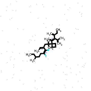 C=C(C)/C(C(=C)CC)=C(/C)C1(C(C)(C)CC(=C/C)/C(F)=C(/F)CCC(C)CC)CCC1